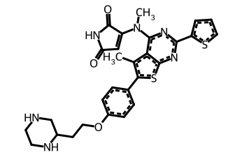 Cc1c(-c2ccc(OCCC3CNCCN3)cc2)sc2nc(-c3cccs3)nc(N(C)C3=CC(=O)NC3=O)c12